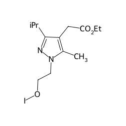 CCOC(=O)Cc1c(C(C)C)nn(CCOI)c1C